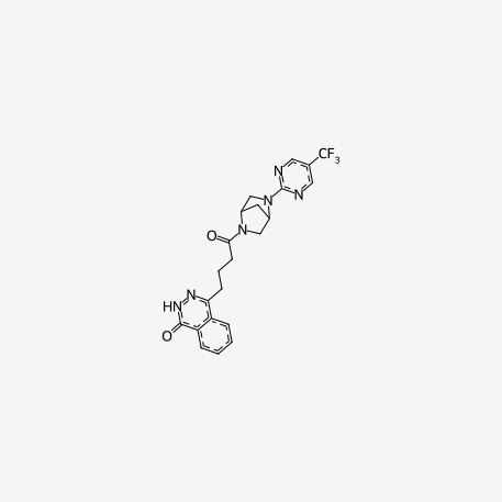 O=C(CCCc1n[nH]c(=O)c2ccccc12)N1CC2CC1CN2c1ncc(C(F)(F)F)cn1